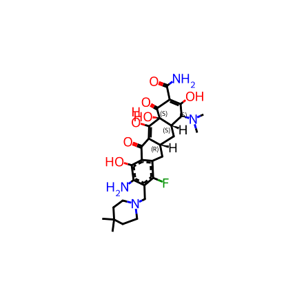 CN(C)[C@@H]1C(O)=C(C(N)=O)C(=O)[C@@]2(O)C(O)=C3C(=O)c4c(O)c(N)c(CN5CCC(C)(C)CC5)c(F)c4C[C@H]3C[C@@H]12